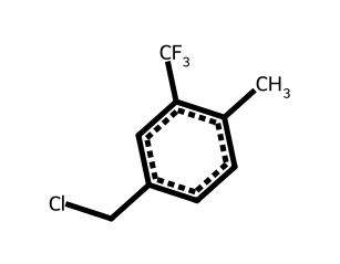 Cc1ccc(CCl)cc1C(F)(F)F